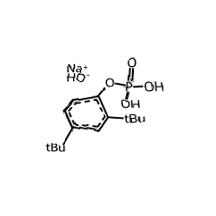 CC(C)(C)c1ccc(OP(=O)(O)O)c(C(C)(C)C)c1.[Na+].[OH-]